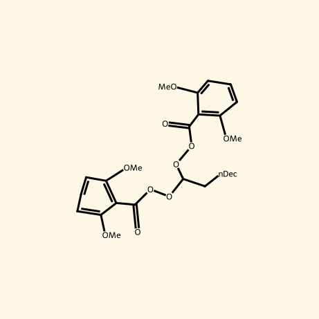 [CH2]CCCCCCCCCC[C](OOC(=O)c1c(OC)cccc1OC)OOC(=O)c1c(OC)cccc1OC